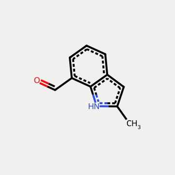 Cc1cc2cccc(C=O)c2[nH]1